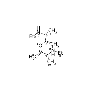 C=C(OC(=C)C(C)NCC)C(C)NCC